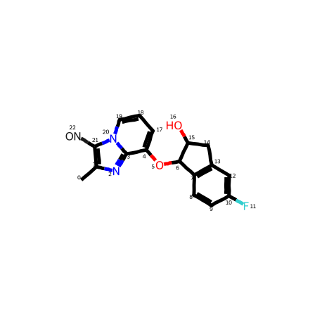 Cc1nc2c(OC3c4ccc(F)cc4CC3O)cccn2c1N=O